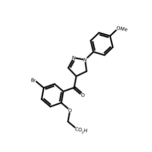 COc1ccc(N2CC(C(=O)c3cc(Br)ccc3OCC(=O)O)C=N2)cc1